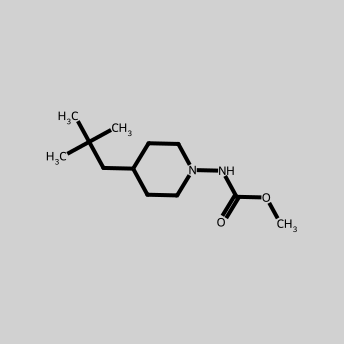 COC(=O)NN1CCC(CC(C)(C)C)CC1